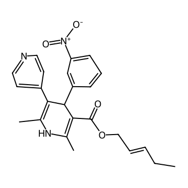 CCC=CCOC(=O)C1=C(C)NC(C)=C(c2ccncc2)C1c1cccc([N+](=O)[O-])c1